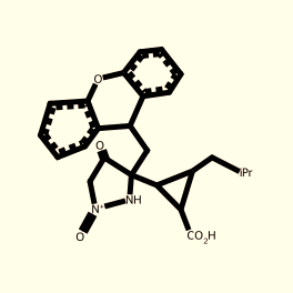 CC(C)CC1C(C(=O)O)C1C1(CC2c3ccccc3Oc3ccccc32)N[N+](=O)CC1=O